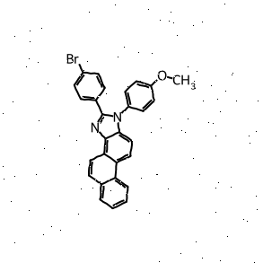 COc1ccc(-n2c(-c3ccc(Br)cc3)nc3c4ccc5ccccc5c4ccc32)cc1